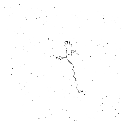 C#CC(C#CCCCCCCCC[CH2])C(CC)CCCC